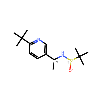 C[C@H](N[S@+]([O-])C(C)(C)C)c1ccc(C(C)(C)C)nc1